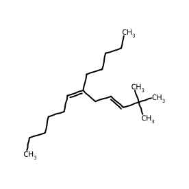 CCCCCC=C(CC=CC(C)(C)C)CCCCC